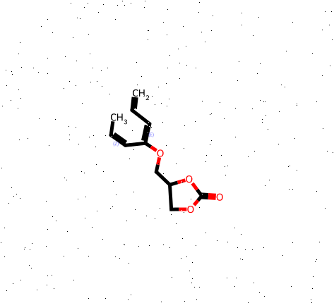 C=C/C=C(\C=C/C)OCC1COC(=O)O1